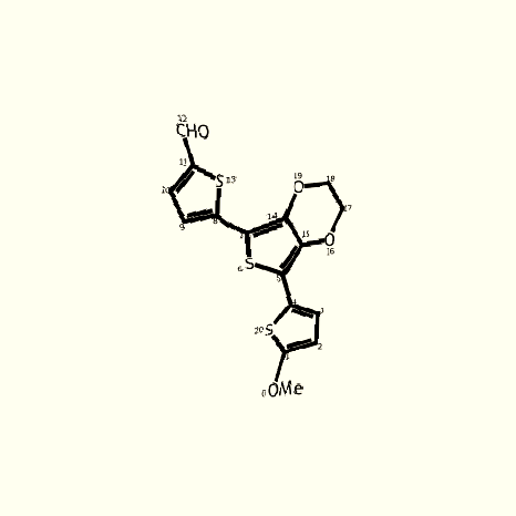 COc1ccc(-c2sc(-c3ccc(C=O)s3)c3c2OCCO3)s1